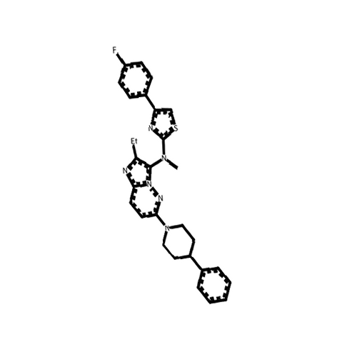 CCc1nc2ccc(N3CCC(c4ccccc4)CC3)nn2c1N(C)c1nc(-c2ccc(F)cc2)cs1